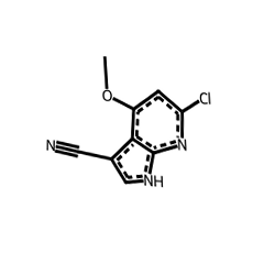 COc1cc(Cl)nc2[nH]cc(C#N)c12